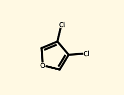 Clc1cocc1Cl